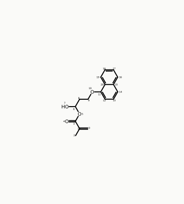 C=C(C)C(=O)OC(O)CCOc1cccc2ccccc12